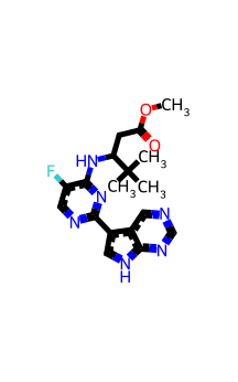 COC(=O)CC(Nc1nc(-c2c[nH]c3ncncc23)ncc1F)C(C)(C)C